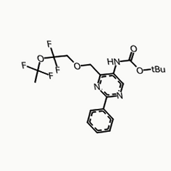 CC(C)(C)OC(=O)Nc1cnc(-c2ccccc2)nc1COCC(F)(F)OC(C)(F)F